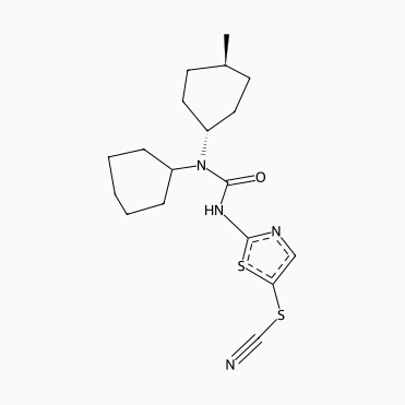 C[C@H]1CC[C@H](N(C(=O)Nc2ncc(SC#N)s2)C2CCCCC2)CC1